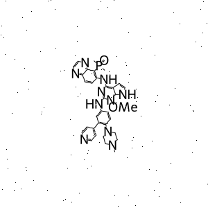 COc1cc(N2CCN(C)CC2)c(-c2ccncc2)cc1Nc1nc(Nc2ccc3nccnc3c2P(C)(C)=O)c2cc[nH]c2n1